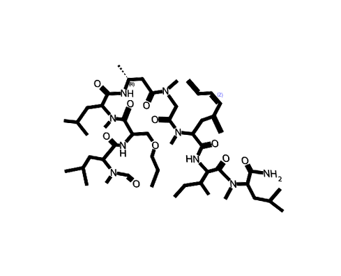 C=C/C=C\C(=C)CC(C(=O)NC(C(=O)N(C)C(CC(C)C)C(N)=O)C(C)CC)N(C)C(=O)CN(C)C(=O)C[C@@H](C)NC(=O)C(CC(C)C)N(C)C(=O)C(COCCC)NC(=O)C(CC(C)C)N(C)C=O